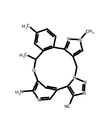 Cc1ccc2c(c1)C(C)Oc1cc(cnc1N)-c1c(C#N)nnn1Cc1cn(C)nc1-2